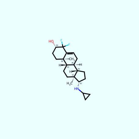 C[C@]12CC[C@H]3[C@@H](CC=C4C(F)(F)[C@@H](O)CC[C@@]43C)[C@@H]1CC[C@@H]2NC1CC1